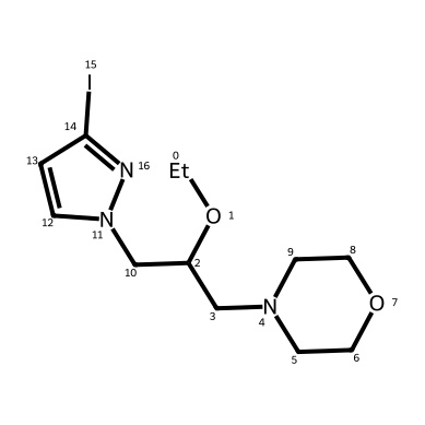 CCOC(CN1CCOCC1)Cn1ccc(I)n1